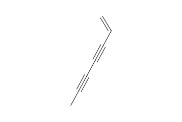 C=CC#CC#CC